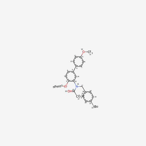 CCCCCOc1ccc(-c2ccc(OC(F)(F)F)cc2)cc1N(Cc1ccc(C(C)(C)C)cc1)C(=O)C(=O)O